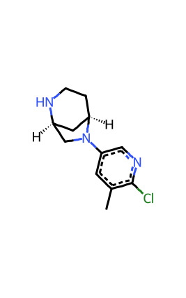 Cc1cc(N2C[C@@H]3C[C@H]2CCN3)cnc1Cl